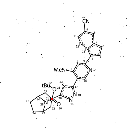 CNc1cc(-c2ccc3cc(C#N)cnn23)ncc1-c1nnc(N2CC3CCC(C2)N3C(=O)OC(C)(C)C)s1